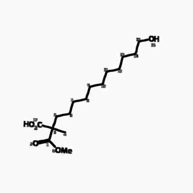 COC(=O)C(C)(CCCCCCCCCCCO)C(=O)O